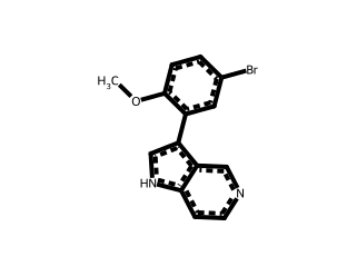 COc1ccc(Br)cc1-c1c[nH]c2ccncc12